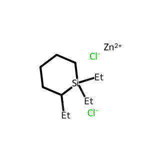 CCC1CCCC[Si]1(CC)CC.[Cl-].[Cl-].[Zn+2]